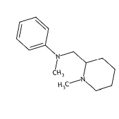 CN(CC1CCCCN1C)c1ccccc1